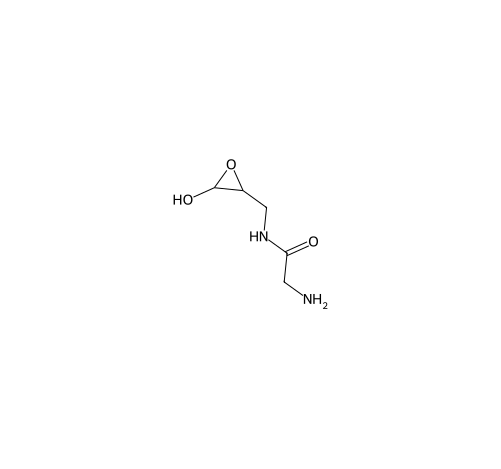 NCC(=O)NCC1OC1O